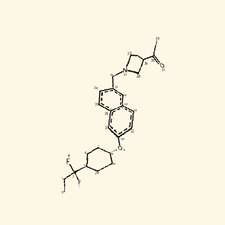 CCC(F)(F)[C@H]1CC[C@H](Oc2ccc3cc(CN4CC(C(=O)I)C4)ccc3c2)CC1